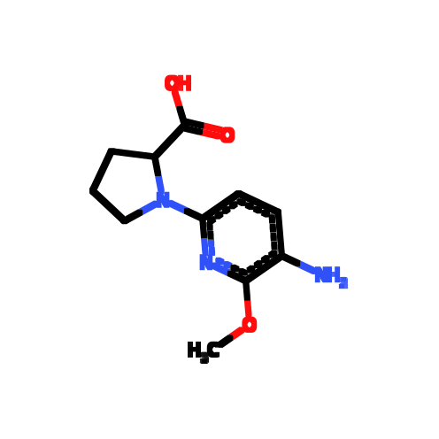 COc1nc(N2CCCC2C(=O)O)ccc1N